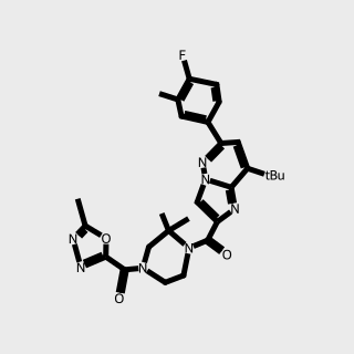 Cc1nnc(C(=O)N2CCN(C(=O)c3cn4nc(-c5ccc(F)c(C)c5)cc(C(C)(C)C)c4n3)C(C)(C)C2)o1